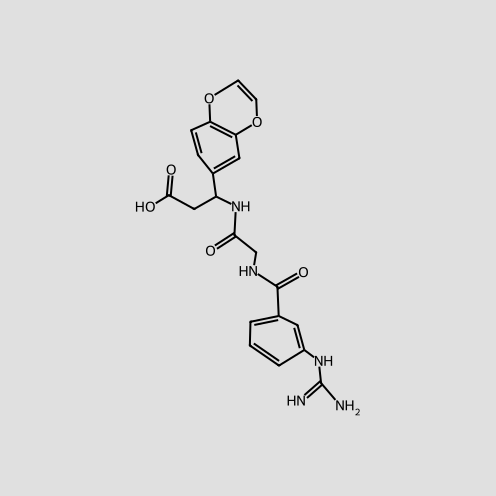 N=C(N)Nc1cccc(C(=O)NCC(=O)NC(CC(=O)O)c2ccc3c(c2)OC=CO3)c1